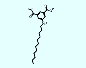 CCCCCCCCCCCCNc1cc(C(=O)OC)cc(C(=O)OC)c1